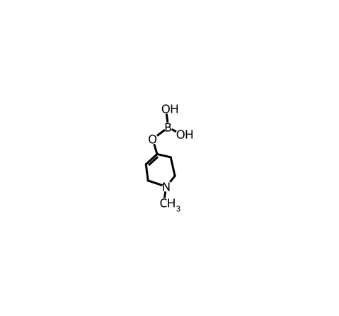 CN1CC=C(OB(O)O)CC1